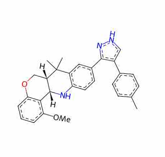 COc1cccc2c1[C@H]1Nc3ccc(-c4n[nH]cc4-c4ccc(C)cc4)cc3C(C)(C)[C@H]1CO2